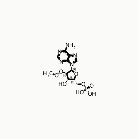 COO[C@@H]1[C@@H](O)[C@@H](COP(=O)(O)O)O[C@H]1n1cnc2c(N)ncnc21